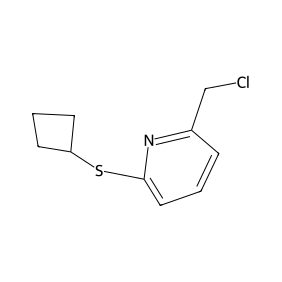 ClCc1cccc(SC2CCC2)n1